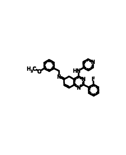 COc1cccc(CN=C2C=Cc3nc(-c4ccccc4F)nc(Nc4ccncc4)c3C2)c1